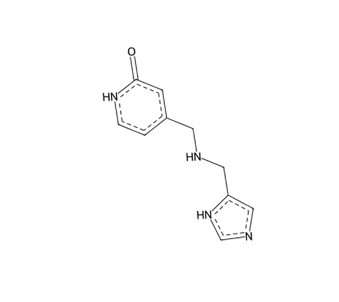 O=c1cc(CNCc2cnc[nH]2)cc[nH]1